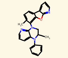 Cc1ccc2c(oc3ncccc32)c1N1CC(C)N(c2ccccc2)c2cccnc21